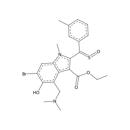 CCOC(=O)c1c(C(=S=O)c2cccc(C)c2)n(C)c2cc(Br)c(O)c(CN(C)C)c12